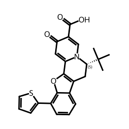 CC(C)(C)[C@@H]1Cc2c(oc3c(-c4cccs4)cccc23)-c2cc(=O)c(C(=O)O)cn21